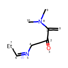 C=C(C(=O)C/N=C\CC)N(C)C